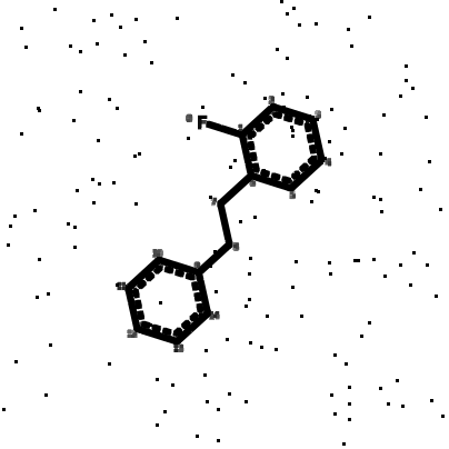 Fc1ccccc1CCc1ccccc1